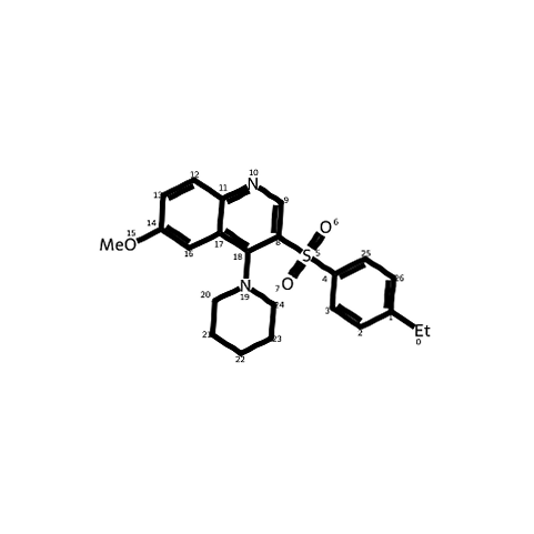 CCc1ccc(S(=O)(=O)c2cnc3ccc(OC)cc3c2N2CCCCC2)cc1